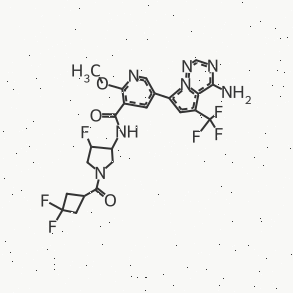 COc1ncc(-c2cc(C(F)(F)F)c3c(N)ncnn23)cc1C(=O)NC1CN(C(=O)C2CC(F)(F)C2)CC1F